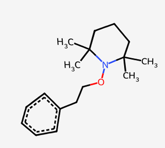 CC1(C)CCCC(C)(C)N1OCCc1ccccc1